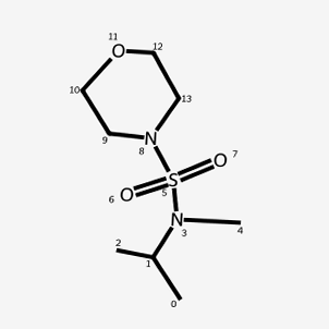 CC(C)N(C)S(=O)(=O)N1CCOCC1